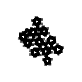 c1ccc(N2c3ccccc3B3c4cc5c(cc4N(c4ccccc4)c4cc(N6CCCC6)cc2c43)N(c2ccccc2)c2c3c(cc4oc6ccccc6c24)N(c2ccccc2)c2ccccc2B53)cc1